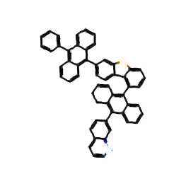 C1=Cc2c(c(-c3ccc4cccnc4c3)c3ccccc3c2-c2cccc3sc4cc(-c5c6ccccc6c(-c6ccccc6)c6ccccc56)ccc4c23)CC1